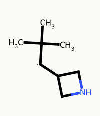 CC(C)(C)[CH]C1CNC1